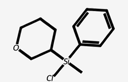 C[Si](Cl)(c1ccccc1)C1CCCOC1